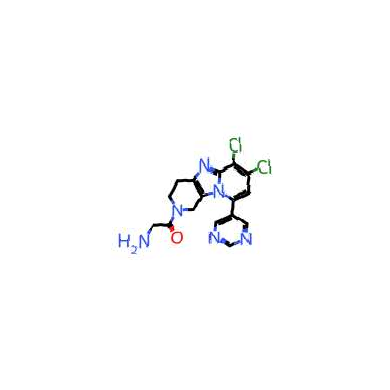 NCC(=O)N1CCc2nc3c(Cl)c(Cl)cc(-c4cncnc4)n3c2C1